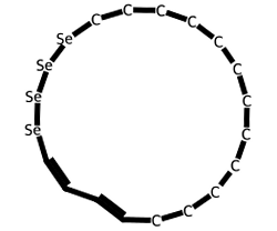 C1=C\[Se][Se][Se][Se]CCCCCCCCCCCC/C=C/1